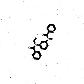 CCN(C(=O)c1ccccc1)c1cccc(N(C)C(=O)c2ccccc2)c1